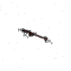 CCCC1(OC(=O)CCCCCCCCCCCCCCCCCCC(=O)N[C@@H](CCC(=O)NCCOCCOCC(=O)O)C(=O)OC)CC1